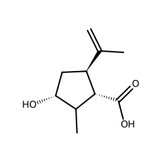 C=C(C)[C@@H]1C[C@@H](O)C(C)[C@H]1C(=O)O